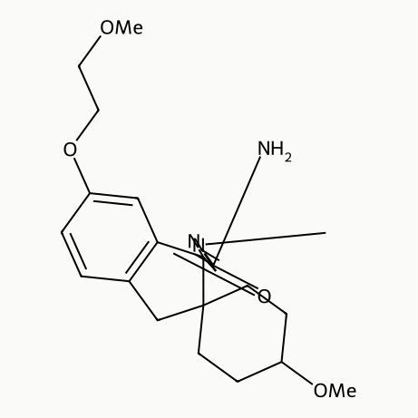 COCCOc1ccc2c(c1)C1(N=C(N)N(C)C1=O)C1(CCC(OC)CC1)C2